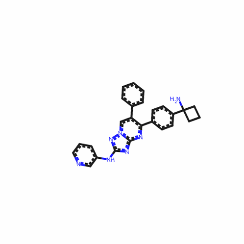 NC1(c2ccc(-c3nc4nc(Nc5cccnc5)nn4cc3-c3ccccc3)cc2)CCC1